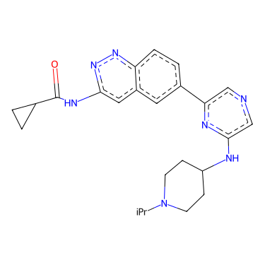 CC(C)N1CCC(Nc2cncc(-c3ccc4nnc(NC(=O)C5CC5)cc4c3)n2)CC1